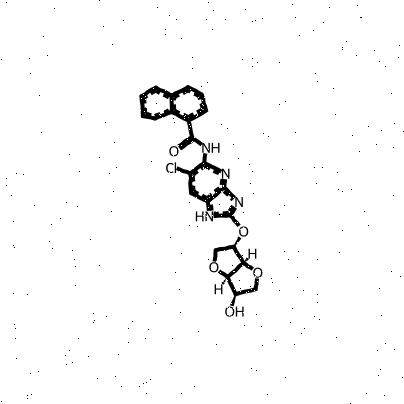 O=C(Nc1nc2nc(O[C@@H]3CO[C@H]4[C@@H]3OC[C@H]4O)[nH]c2cc1Cl)c1cccc2ccccc12